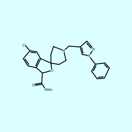 CNC(=O)C1OC2(CCN(Cc3cnn(-c4ccccc4)c3)CC2)c2cc(Cl)ccc21